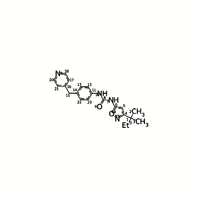 CCC(C)(C)c1cc(NC(=O)Nc2ccc(Cc3ccncc3)cc2)on1